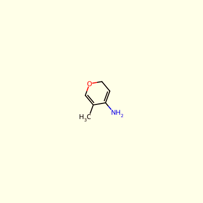 CC1=COCC=C1N